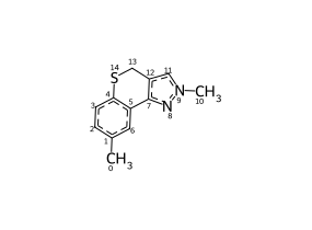 Cc1ccc2c(c1)-c1nn(C)cc1CS2